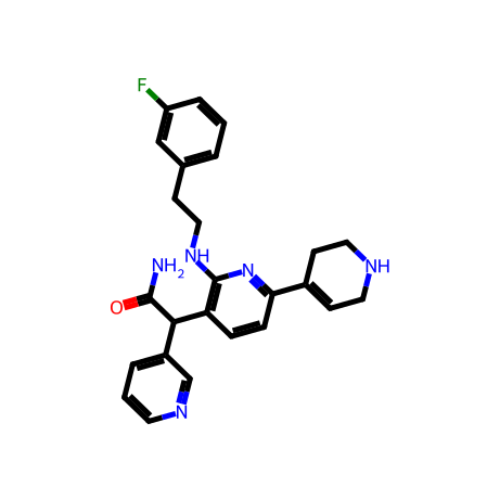 NC(=O)C(c1cccnc1)c1ccc(C2=CCNCC2)nc1NCCc1cccc(F)c1